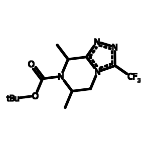 CC1Cn2c(nnc2C(F)(F)F)C(C)N1C(=O)OC(C)(C)C